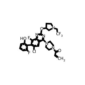 C=CC(=O)N1CCN(c2nc(OC3CCN(CC(F)(F)F)C3)nc3c(F)c(-c4c(O)cccc4F)c(Cl)cc23)CC1